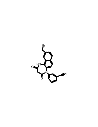 N#Cc1cccc(N2C(=O)CC(=O)Nc3c2ccc2ccc(CBr)cc32)c1